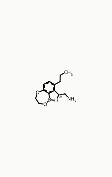 CCCc1ccc2c3c1[C@@H](CN)OB3OCCO2